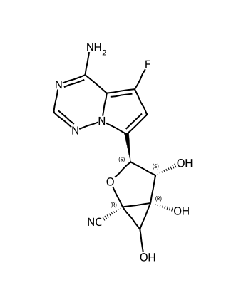 N#C[C@]12O[C@@H](c3cc(F)c4c(N)ncnn34)[C@H](O)[C@@]1(O)C2O